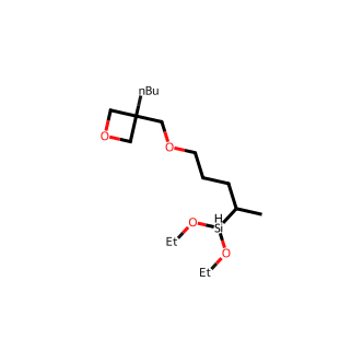 CCCCC1(COCCCC(C)[SiH](OCC)OCC)COC1